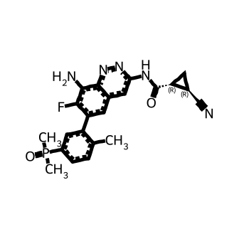 Cc1ccc(P(C)(C)=O)cc1-c1cc2cc(NC(=O)[C@@H]3C[C@H]3C#N)nnc2c(N)c1F